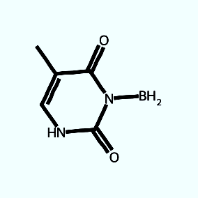 Bn1c(=O)[nH]cc(C)c1=O